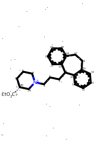 CCOC(=O)[C@@H]1CCCN(CCCC2c3ccccc3CCc3ccccc32)C1